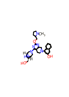 CN1CCCC1COc1nc2c(c(N3C[C@@H]4C[C@H](CO)[C@H](C3)N4)n1)CCN(c1cc(O)cc3ccccc13)C2